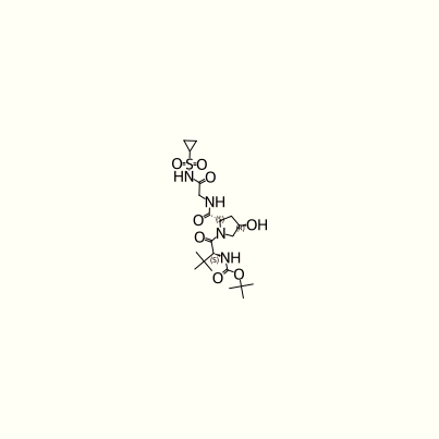 CC(C)(C)OC(=O)N[C@H](C(=O)N1C[C@H](O)C[C@H]1C(=O)NCC(=O)NS(=O)(=O)C1CC1)C(C)(C)C